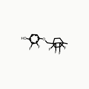 CC12CCC(COc3ccc(O)c(F)c3F)(CC1)C(F)(F)C2(F)F